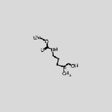 C[C@H](CO)CCCNC(=O)OC(C)(C)C